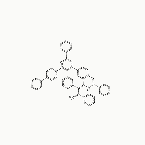 C=C(/C(=C1\NC(c2ccccc2)=Cc2ccc(-c3cc(-c4ccccc4)nc(-c4ccc(-c5ccccc5)cc4)c3)cc21)c1ccccc1)c1ccccc1